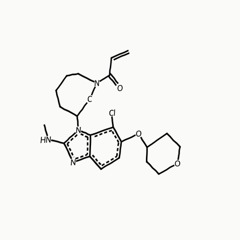 C=CC(=O)N1CCCCC(n2c(NC)nc3ccc(OC4CCOCC4)c(Cl)c32)C1